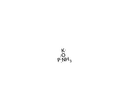 N.[K].[O].[P]